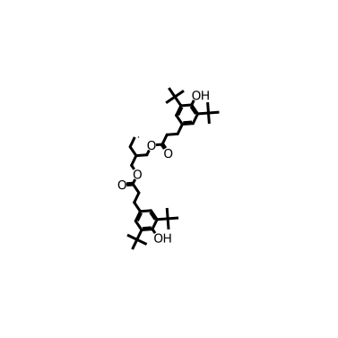 [CH2]CC(COC(=O)CCc1cc(C(C)(C)C)c(O)c(C(C)(C)C)c1)COC(=O)CCc1cc(C(C)(C)C)c(O)c(C(C)(C)C)c1